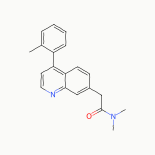 Cc1ccccc1-c1ccnc2cc(CC(=O)N(C)C)ccc12